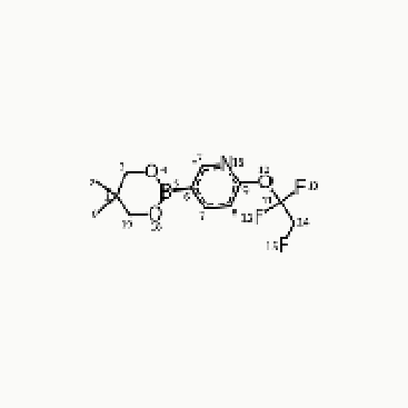 CC1(C)COB(c2ccc(OC(F)(F)CF)nc2)OC1